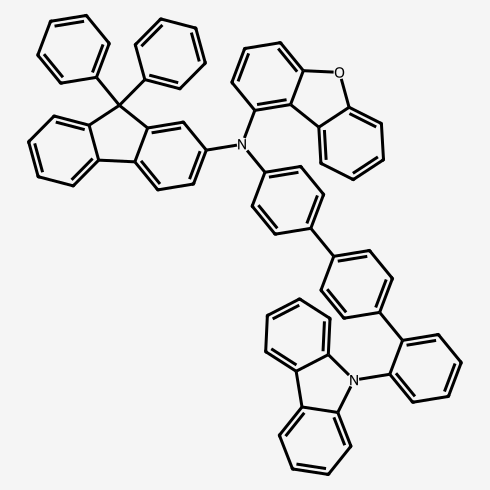 c1ccc(C2(c3ccccc3)c3ccccc3-c3ccc(N(c4ccc(-c5ccc(-c6ccccc6-n6c7ccccc7c7ccccc76)cc5)cc4)c4cccc5oc6ccccc6c45)cc32)cc1